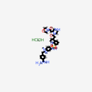 Cl.Cl.Cn1c(Cc2ccc(C(=N)N)cc2)nc2cc(NS(=O)(=O)c3cccc4c(CC(=O)N5CCNCC5CC(=O)N5CCOCC5)ccnc34)ccc21